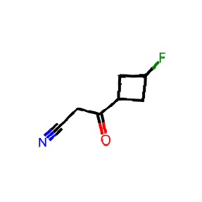 N#CCC(=O)C1CC(F)C1